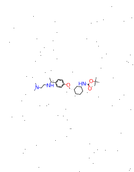 CC(NCCN(C)C)c1ccc(OC[C@H]2CCC[C@@H](NC(=O)OC(C)(C)C)C2)cc1